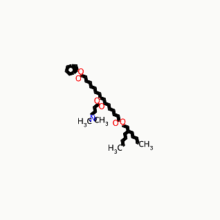 CCCCCC(CCCCC)CCOC(=O)CCCCCCCC(CCCCCCCC(=O)OC1CC2CCCC1C2)OC(=O)CCCN(C)C